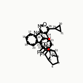 N#Cc1ccc(N2C3CCC2CC(OCc2c(-c4ccccc4OC(F)F)noc2C2CC2)C3)c(F)c1